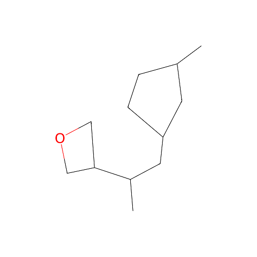 CC1CCC(CC(C)C2COC2)C1